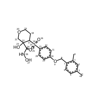 Cc1cc(F)ccc1COc1ccc(S(=O)(=O)C2CCOCC2(O)C(=O)NO)cc1